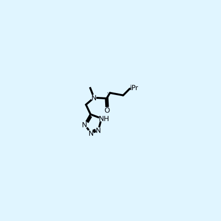 CC(C)C[CH]C(=O)N(C)Cc1nnn[nH]1